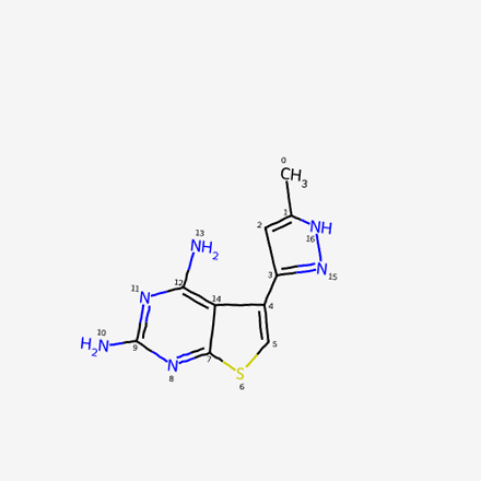 Cc1cc(-c2csc3nc(N)nc(N)c23)n[nH]1